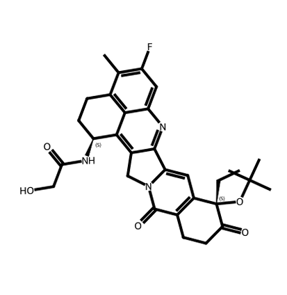 CC[C@@]1(OC(C)(C)C)C(=O)CCc2c1cc1n(c2=O)Cc2c-1nc1cc(F)c(C)c3c1c2[C@@H](NC(=O)CO)CC3